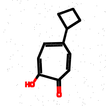 O=c1ccc(C2CCC2)ccc1O